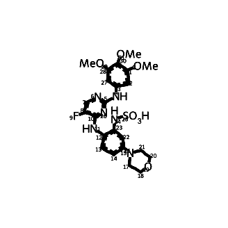 COc1cc(Nc2ncc(F)c(Nc3ccc(N4CCOCC4)cc3NS(=O)(=O)O)n2)cc(OC)c1OC